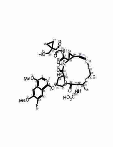 COc1cc2c(OC)cnc(O[C@@H]3C[C@H]4C(=O)NC5(C(=O)NS(=O)(=O)C6(CO)CC6)CC5/C=C\CC[C@H](C)C[C@@H](C)[C@H](NC(=O)O)C(=O)N4C3)c2cc1F